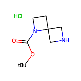 CC(C)(C)OC(=O)N1CCC12CNC2.Cl